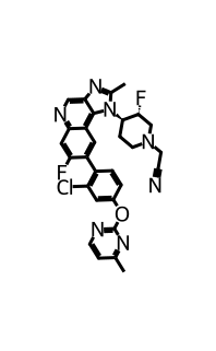 Cc1ccnc(Oc2ccc(-c3cc4c(cc3F)ncc3nc(C)n([C@@H]5CCN(CC#N)C[C@H]5F)c34)c(Cl)c2)n1